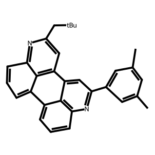 Cc1cc(C)cc(-c2cc3c4cc(CC(C)(C)C)nc5cccc(c6cccc(n2)c63)c54)c1